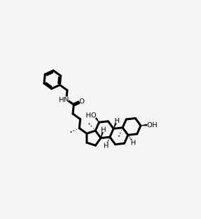 C[C@H](CCC(=O)NCc1ccccc1)C1CC[C@H]2[C@@H]3CC[C@@H]4C[C@H](O)CC[C@]4(C)[C@H]3C[C@H](O)[C@]12C